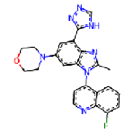 Cc1nc2c(-c3nnc[nH]3)cc(N3CCOCC3)cc2n1-c1ccnc2c(F)cccc12